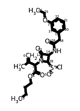 C=C(C)C(C(=O)OCCCC)N1C(=O)C(NC(=O)Cc2cccc(OCC)c2)C1[S+]([O-])Cl